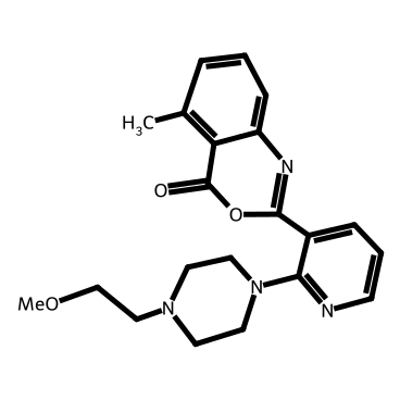 COCCN1CCN(c2ncccc2-c2nc3cccc(C)c3c(=O)o2)CC1